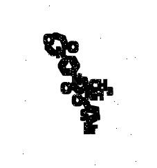 CC1(NC(=O)c2ccc(Br)s2)CC(=O)N(c2ccc(N3CCOCCC3=O)cc2)C1